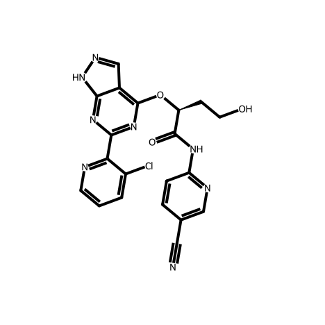 N#Cc1ccc(NC(=O)[C@H](CCO)Oc2nc(-c3ncccc3Cl)nc3[nH]ncc23)nc1